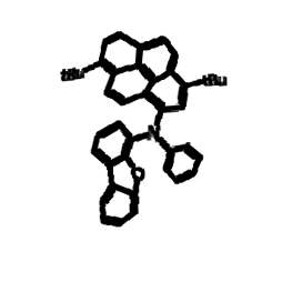 CC(C)(C)c1ccc2ccc3c(C(C)(C)C)cc(N(c4ccccc4)c4cccc5c4oc4ccccc45)c4ccc1c2c43